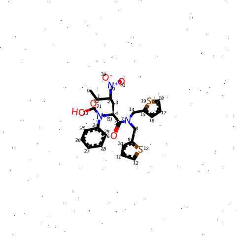 CCC(C[C@@H](C(=O)N(Cc1cccs1)Cc1cccs1)N(C(=O)O)c1ccccc1)[N+](=O)[O-]